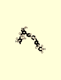 CCCc1cc(C)[nH]c(=O)c1CNC(=O)c1cc(-c2ccc(N3CCN(Cc4ccc5c(c4)CN(C4CCC(=O)NC4=O)C5=O)CC3)nc2)cc2c1cnn2C(C)C